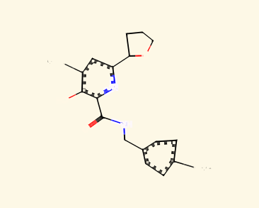 COc1ccc(CNC(=O)c2nc(C3CCCO3)cc(OC)c2O)cc1